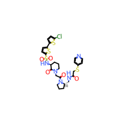 O=C(CSc1ccncc1)NC[C@@H]1CCCN1C(=O)CN1CCCC(NS(=O)(=O)c2ccc(-c3ccc(Cl)s3)s2)C1=O